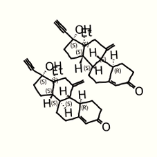 C#C[C@]1(O)CC[C@H]2[C@@H]3CCC4=CC(=O)CC[C@@H]4[C@H]3C(=C)C[C@@]21CC.C#C[C@]1(O)CC[C@H]2[C@@H]3CCC4=CC(=O)CC[C@@H]4[C@H]3C(=C)C[C@@]21CC